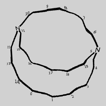 C1CCCCN2CCCCCN(CCC1)CCCCC2